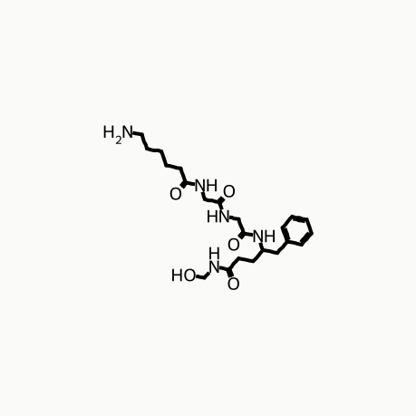 NCCCCCC(=O)NCC(=O)NCC(=O)NC(CCC(=O)NCO)Cc1ccccc1